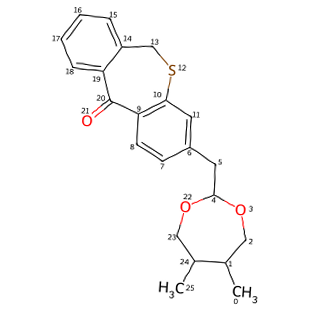 CC1COC(Cc2ccc3c(c2)SCc2ccccc2C3=O)OCC1C